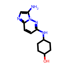 Nc1cnc2ccc(NC3CCC(O)CC3)nn12